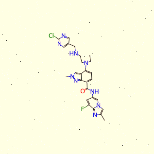 CCN(CCNCc1cnc(Cl)nc1)c1ccc(C(=O)Nc2cc(F)c3nc(C)cn3c2)c2nn(C)cc12